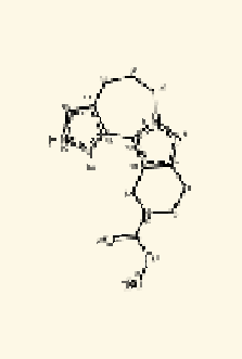 CC(C)(C)OC(=O)N1CCc2nn3c(c2C1)-c1n[nH]cc1CCC3